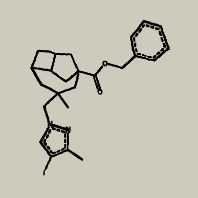 Cc1nn(CC2(C)CC3CC4CC(C(=O)OCc5ccccc5)(CC34)C2)cc1I